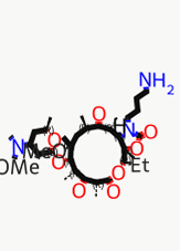 CC[C@H]1OC(=O)[C@H](C)C(=O)[C@H](C)[C@@H](O[C@@H]2O[C@H](C)CC(N(C)C)C2OC)[C@](C)(OC)C[C@@H](C)C(=O)[C@H](C)[C@H]2N(CCCCN)C(=O)O[C@]12C